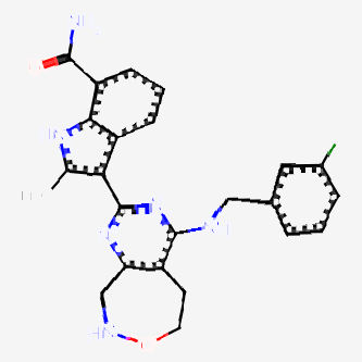 Cc1[nH]c2c(C(N)=O)cccc2c1-c1nc2c(c(NCc3cccc(F)c3)n1)CCONC2